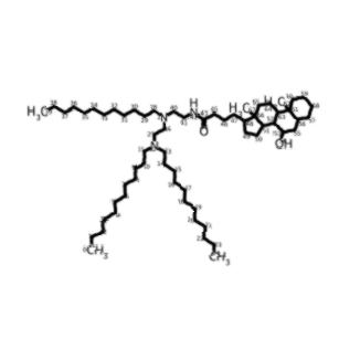 CCCCCCCCCCCCN(CCCCCCCCCCCC)CCN(CCCCCCCCCCCC)CCNC(=O)CCCC1CCC2C3C(O)CC4CCCCC4(C)C3CCC12C